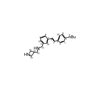 CCCCc1ccc(/C=C/c2cccc(CNCC3CNC3)c2)cc1